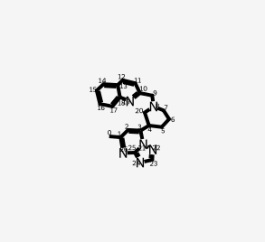 Cc1cc(C2CCCN(Cc3ccc4ccccc4n3)C2)n2ncnc2n1